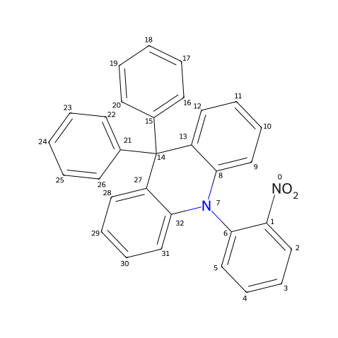 O=[N+]([O-])c1ccccc1N1c2ccccc2C(c2ccccc2)(c2ccccc2)c2ccccc21